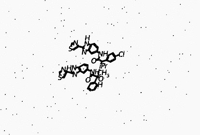 CC(C)C(C(=O)Nc1ccc2[nH]c(-c3cscn3)nc2c1)c1ccc(Cl)cc1.C[C@](O)(C(=O)Nc1ccc2[nH]c(-c3cscn3)nc2c1)c1ccccc1